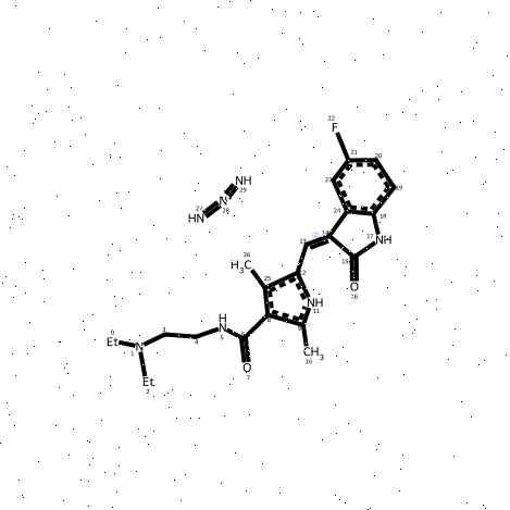 CCN(CC)CCNC(=O)c1c(C)[nH]c(/C=C2\C(=O)Nc3ccc(F)cc32)c1C.N=[N+]=N